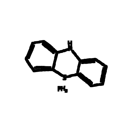 P.c1ccc2c(c1)Nc1ccccc1S2